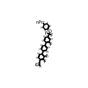 CCCC1CC=C(OC(F)(F)c2ccc(-c3ccc(-c4ccc(C5CO5)c(F)c4F)cc3)c(F)c2)CC1